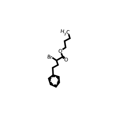 CCCCOC(=O)C(Br)CCc1ccccc1